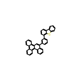 c1cc(-c2cc3c4ccccc4c4ccccc4c3c3ccccc23)cc(-c2cccc3c2sc2ccccc23)c1